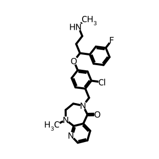 CNCCC(Oc1ccc(CN2CCN(C)c3ncccc3C2=O)c(Cl)c1)c1cccc(F)c1